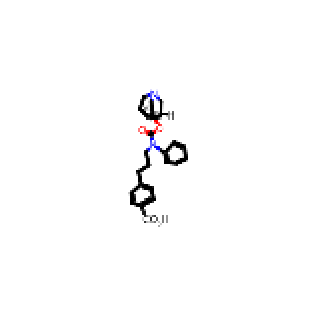 O=C(O)c1ccc(CCCN(C(=O)O[C@H]2CN3CCC2CC3)c2ccccc2)cc1